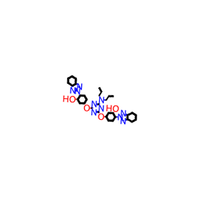 C=CCN(CC=C)c1nc(Oc2ccc(-n3nc4ccccc4n3)c(O)c2)nc(Oc2ccc(-n3nc4ccccc4n3)c(O)c2)n1